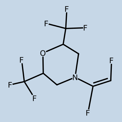 F/C=C(/F)N1CC(C(F)(F)F)OC(C(F)(F)F)C1